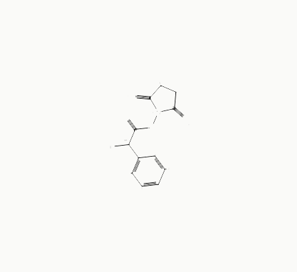 O=C(ON1C(=O)CCC1=O)C(Br)c1ccccc1